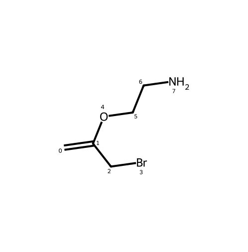 C=C(CBr)OCCN